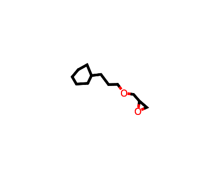 C1CCC(CCCOCC2CO2)CC1